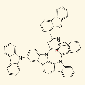 c1ccc(-c2nc(-c3cccc4c3oc3ccccc34)nc(-n3c4ccc(-n5c6ccccc6c6ccccc65)cc4c4ccc5c6ccccc6n(-c6ccccc6)c5c43)n2)cc1